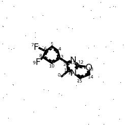 Cc1c(-c2ccc(F)c(F)c2)nc2occn12